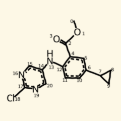 COC(=O)c1cc(C2CC2)ccc1Nc1cnc(Cl)nc1